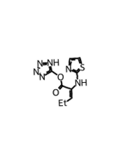 CCC=C(Nc1nccs1)C(=O)Oc1nnn[nH]1